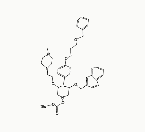 CN1CCN(CCOC2CN(OC(=O)OC(C)(C)C)CC(OCc3ccc4ccccc4c3)C2c2ccc(OCCCOCc3ccccc3)cc2)CC1